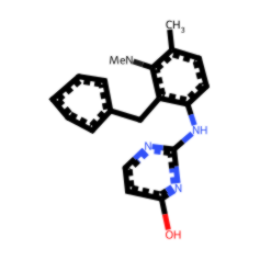 CNc1c(C)ccc(Nc2nccc(O)n2)c1Cc1ccccc1